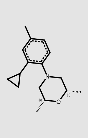 Cc1ccc(N2C[C@@H](C)O[C@@H](C)C2)c(C2CC2)c1